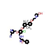 Cc1c(COc2cc(OCc3cncc(C#N)c3)c(CNCc3cc(-c4ccccc4)on3)cc2Cl)cccc1-c1cccc(OCCCN2CC[C@@H](O)C2)c1C